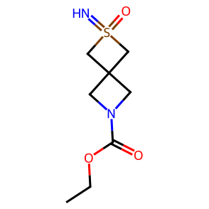 CCOC(=O)N1CC2(C1)CS(=N)(=O)C2